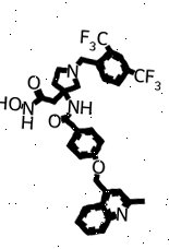 Cc1cc(COc2ccc(C(=O)NC3(CC(=O)NO)CCN(Cc4ccc(C(F)(F)F)cc4C(F)(F)F)C3)cc2)c2ccccc2n1